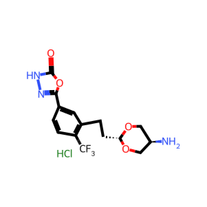 Cl.N[C@H]1CO[C@H](CCc2cc(-c3n[nH]c(=O)o3)ccc2C(F)(F)F)OC1